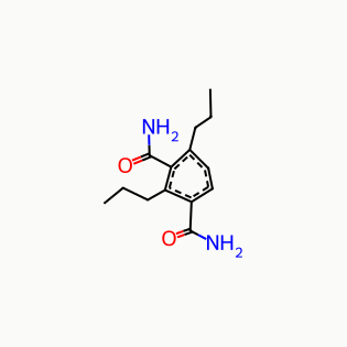 CCCc1ccc(C(N)=O)c(CCC)c1C(N)=O